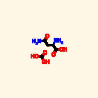 NC(=O)C[C@H](N)C(=O)O.O=C(O)O